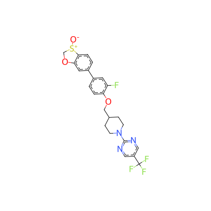 [O-][S+]1COc2cc(-c3ccc(OCC4CCN(c5ncc(C(F)(F)F)cn5)CC4)c(F)c3)ccc21